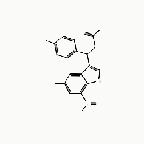 Cc1ccc(C(CC(=O)O)c2c[nH]c3c([N+](=O)[O-])cc(F)cc23)cc1